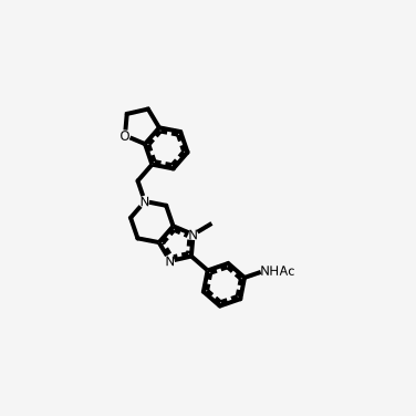 CC(=O)Nc1cccc(-c2nc3c(n2C)CN(Cc2cccc4c2OCC4)CC3)c1